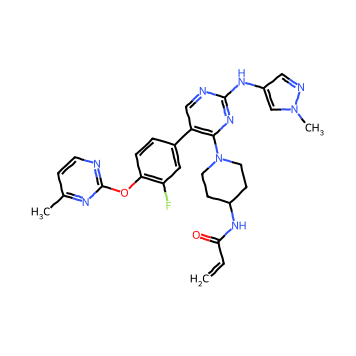 C=CC(=O)NC1CCN(c2nc(Nc3cnn(C)c3)ncc2-c2ccc(Oc3nccc(C)n3)c(F)c2)CC1